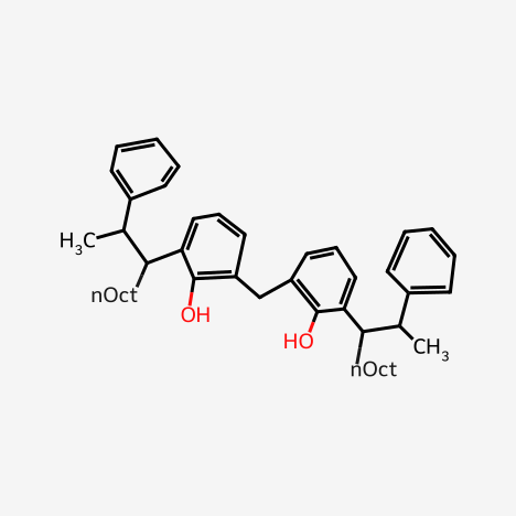 CCCCCCCCC(c1cccc(Cc2cccc(C(CCCCCCCC)C(C)c3ccccc3)c2O)c1O)C(C)c1ccccc1